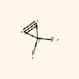 FC1(F)C#C1